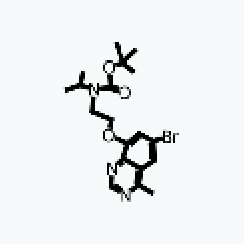 Cc1ncnc2c(OCCN(C(=O)OC(C)(C)C)C(C)C)cc(Br)cc12